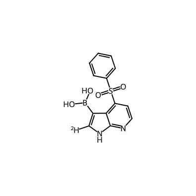 [2H]c1[nH]c2nccc(S(=O)(=O)c3ccccc3)c2c1B(O)O